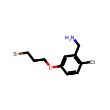 C[CH]c1ccc(OCCCBr)cc1CN